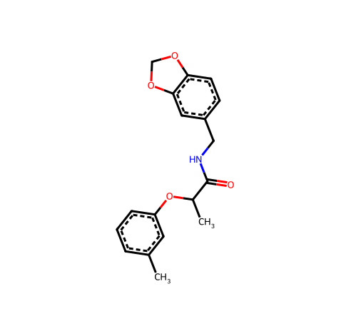 Cc1cccc(OC(C)C(=O)NCc2ccc3c(c2)OCO3)c1